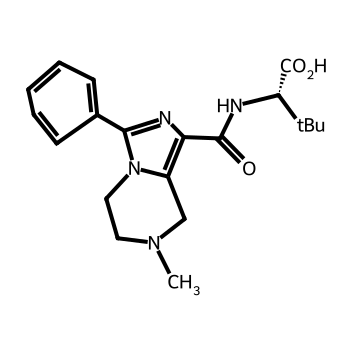 CN1CCn2c(-c3ccccc3)nc(C(=O)N[C@H](C(=O)O)C(C)(C)C)c2C1